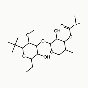 CCC1OC(C(C)(C)C)C(OC)C(OC2OCC(C)C(OC(=O)NC)C2O)C1O